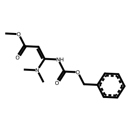 COC(=O)C=C(NC(=O)OCc1ccccc1)N(C)C